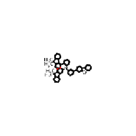 CC1(C)c2ccccc2-c2cc(N(c3cccc(-c4ccc5c(c4)oc4ccccc45)c3)c3ccccc3-c3cccc4c3-c3ccccc3C4(C)C)ccc21